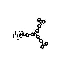 C=C(C)C(=O)Oc1ccc(-c2ccc(N(c3ccc(-c4ccc(-n5c6ccccc6c6ccccc65)cc4)cc3)c3ccc(-c4ccc(-n5c6ccccc6c6ccccc65)cc4)cc3)cc2)cc1